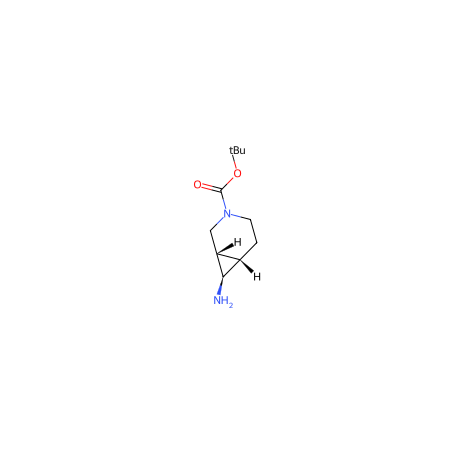 CC(C)(C)OC(=O)N1CC[C@@H]2[C@@H](N)[C@@H]2C1